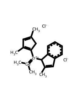 CC1=CC(C)=[C]([Zr+2]([CH]2C(C)=Cc3ccccc32)=[Ge]([CH3])[CH3])C1.[Cl-].[Cl-]